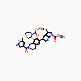 Cc1cc(C(=O)N2CCc3cc(-c4cnc5c(c4)c(C)cn5C(=O)OC(C)(C)C)cc([C@@H]4COCCN4C(=O)OC(C)(C)C)c3C2)cc(C)n1